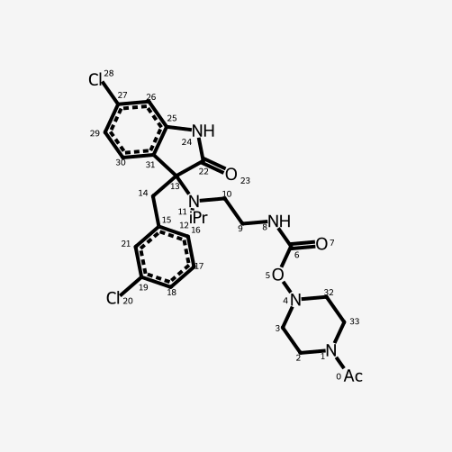 CC(=O)N1CCN(OC(=O)NCCN(C(C)C)C2(Cc3cccc(Cl)c3)C(=O)Nc3cc(Cl)ccc32)CC1